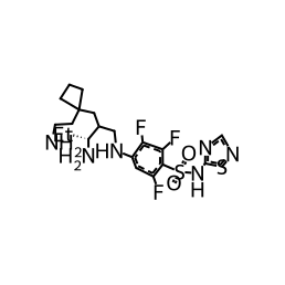 CC[C@@H](N)C(CNc1cc(F)c(S(=O)(=O)Nc2ncns2)c(F)c1F)CC1(CCN)CCC1